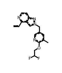 C=Cc1nccc2nn(Cc3cnc(OCC(F)F)c(C)c3)cc12